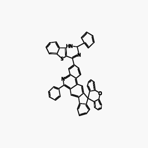 c1ccc(-c2nc3cc(C4=NC(c5ccccc5)Nc5c4sc4ccccc54)ccc3c3cc4c(cc23)-c2ccccc2C42c3ccccc3Oc3ccccc32)cc1